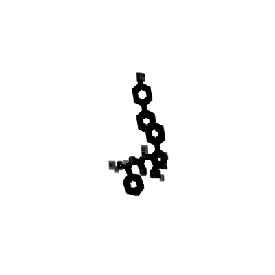 CCC1CCC(c2ccc3cc(-c4snc(C)c4NC(=O)O[C@H](C)c4ccccc4)ccc3c2)CC1